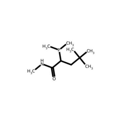 CNC(=O)C(CC(C)(C)C)P(C)C